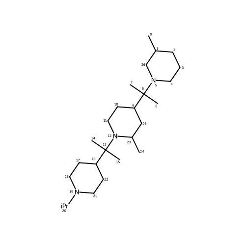 CC1CCCN(C(C)(C)C2CCN(C(C)(C)C3CCN(C(C)C)CC3)C(C)C2)C1